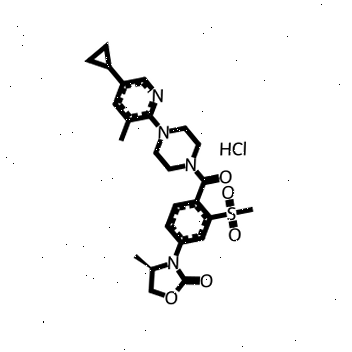 Cc1cc(C2CC2)cnc1N1CCN(C(=O)c2ccc(N3C(=O)OC[C@H]3C)cc2S(C)(=O)=O)CC1.Cl